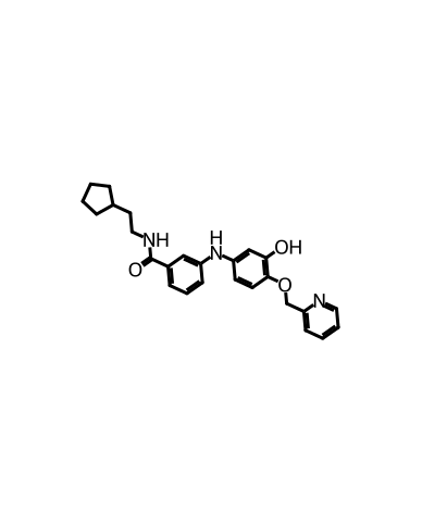 O=C(NCCC1CCCC1)c1cccc(Nc2ccc(OCc3ccccn3)c(O)c2)c1